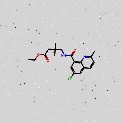 CCOC(=O)CC(C)(C)CNC(=O)c1cc(Cl)cc2ccc(C)nc12